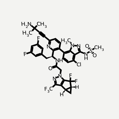 Cn1nc(NS(C)(=O)=O)c2c(Cl)ccc(-c3ccc(C#CC(C)(C)N)nc3[C@H](Cc3cc(F)cc(F)c3)NC(=O)Cn3nc(C(F)(F)F)c4c3C(F)(F)[C@@H]3C[C@H]43)c21